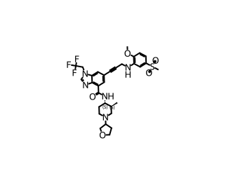 COc1ccc(S(C)(=O)=O)cc1NCC#Cc1cc(C(=O)N[C@H]2CCN(C3CCOC3)C[C@@H]2C)c2ncn(CC(F)(F)F)c2c1